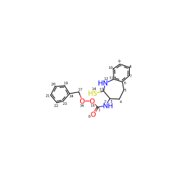 O=C(NC1CCc2ccccc2NC1S)OOCc1ccccc1